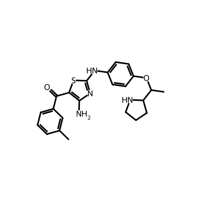 Cc1cccc(C(=O)c2sc(Nc3ccc(OC(C)C4CCCN4)cc3)nc2N)c1